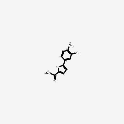 [C-]#[N+]c1cc(-c2ccc(C(=O)OC)s2)ccc1C